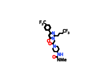 CNC(=O)NC1CCN(C(=O)Cn2c(CCCC(F)(F)F)nc(-c3ccc(C(F)(F)F)cc3)cc2=O)CC1